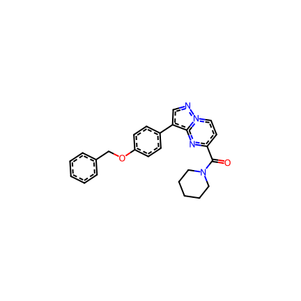 O=C(c1ccn2ncc(-c3ccc(OCc4ccccc4)cc3)c2n1)N1CCCCC1